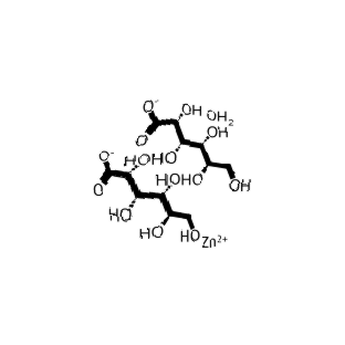 O.O=C([O-])[C@H](O)[C@@H](O)[C@H](O)[C@H](O)CO.O=C([O-])[C@H](O)[C@@H](O)[C@H](O)[C@H](O)CO.[Zn+2]